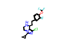 Fc1cc(CCC2NCCn3c(C4CC4)nc(Cl)c32)ccc1OC(F)F